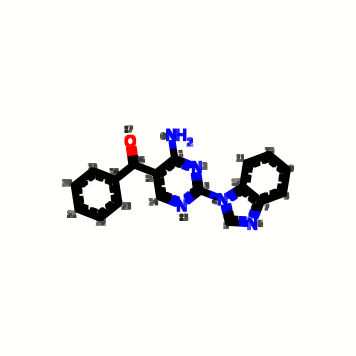 Nc1nc(-n2cnc3ccccc32)ncc1C(=O)c1ccccc1